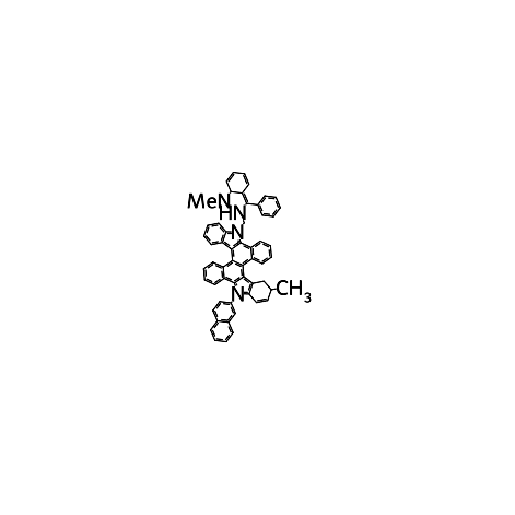 CNC1C=CC=C/C1=C(/NCn1c2ccccc2c2c3c4ccccc4c4c(c5c(n4-c4ccc6ccccc6c4)C=CC(C)C5)c3c3ccccc3c21)c1ccccc1